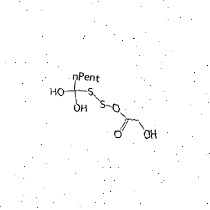 CCCCCC(O)(O)SSOC(=O)CO